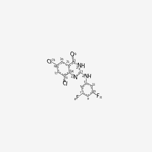 O=c1[nH]c(Nc2cc(F)cc(F)c2)nc2c(Cl)cc(Cl)cc12